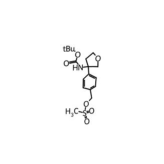 CC(C)(C)OC(=O)NC1(c2ccc(COS(C)(=O)=O)cc2)CCOC1